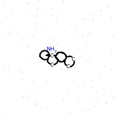 NC1CCCCCCC2CCCCCC3=C(\C=C/C=C\C=C4\CCCCCCCCC\C4=C/C=C\3)CCC23CC13